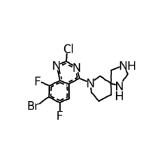 Fc1cc2c(N3CCCC4(CNCN4)C3)nc(Cl)nc2c(F)c1Br